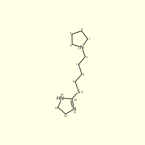 C(CCN1CCCC1)CSC1=NCCN1